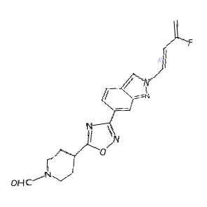 C=C(F)/C=C/n1cc2ccc(-c3noc(C4CCN(C=O)CC4)n3)cc2n1